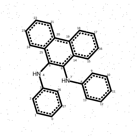 c1ccc(Nc2c(Nc3ccccc3)c3ccccc3c3ccccc23)cc1